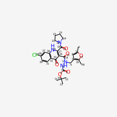 Cc1cc(CN(NC(=O)OC(C)(C)C)C(=O)c2c(C(=O)N3CCCC3)[nH]c3cc(Cl)ccc3c2=O)c(C)o1